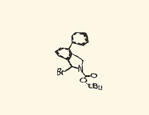 CC(C)(C)OC(=O)N1Cc2c(-c3ccccc3)cccc2C1Br